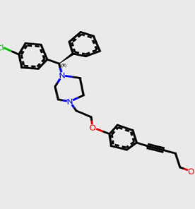 OCCC#Cc1ccc(OCCN2CCN([C@H](c3ccccc3)c3ccc(Cl)cc3)CC2)cc1